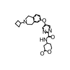 O=C1CC(NC(=O)c2ncc(Oc3ccc4c(c3)CCN(C3CCC3)CC4)cn2)CCO1